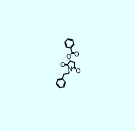 O=C(O[C@@H]1CC(=O)N(CCc2ccccc2)C1=O)c1ccccc1